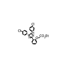 CCOC(=O)COc1ccccc1C1=N[C@H](c2ccc(Cl)cc2)[C@H](c2ccc(Cl)cc2)N1